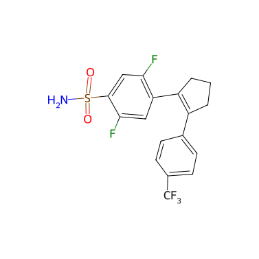 NS(=O)(=O)c1cc(F)c(C2=C(c3ccc(C(F)(F)F)cc3)CCC2)cc1F